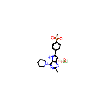 Cc1nc(N2CCCCC2)c2[nH]c(-c3ccc(S(C)(=O)=O)cc3)cc2n1.Cl.O